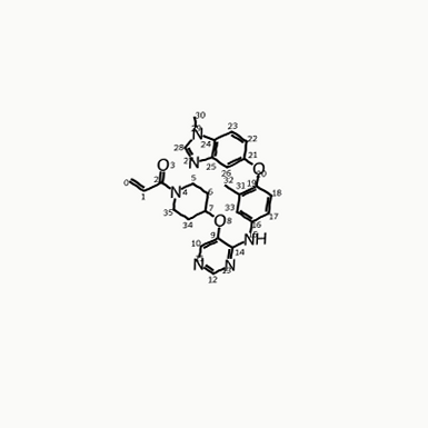 C=CC(=O)N1CCC(Oc2cncnc2Nc2ccc(Oc3ccc4c(c3)ncn4C)c(C)c2)CC1